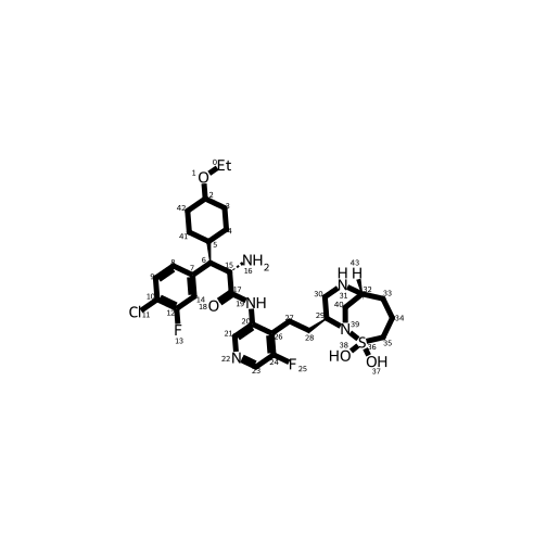 CCOC1CCC([C@H](c2ccc(Cl)c(F)c2)[C@H](N)C(=O)Nc2cncc(F)c2CC[C@H]2CN[C@@H]3CCCS(O)(O)N2C3)CC1